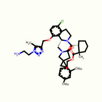 COc1ccc(COC(=O)[C@@]2(C)CCCC[C@H]2C(=O)N2CCc3c(Cl)ccc(OCc4nnn(CCN)c4C)c3[C@H]2CN2CC3(CC3)CC2=O)c(OC)c1